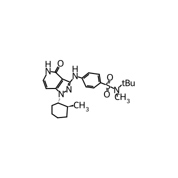 C[C@H]1CCCC[C@@H]1n1nc(Nc2ccc(S(=O)(=O)N(C)C(C)(C)C)cc2)c2c(=O)[nH]ccc21